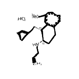 C=CCN[C@H]1CCc2cccc(OC)c2[C@H]1CC1CC1.Cl